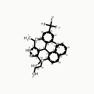 CCc1n[nH]c(CC)c1C(c1c(Cl)cc(C(F)(F)F)cc1Cl)c1c(OCCO)ccc2ccccc12